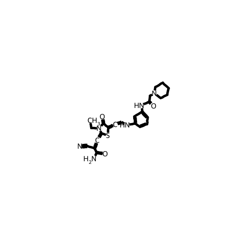 CCn1c(=C=C(C#N)C(N)=O)sc(=C=CNc2cccc(NC(=O)CN3CCCCC3)c2)c1=O